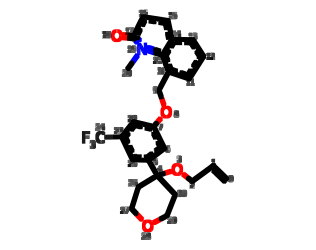 C=CCOC1(c2cc(OCc3cccc4ccc(=O)n(C)c34)cc(C(F)(F)F)c2)CCOCC1